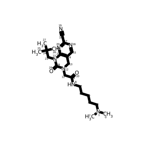 CN(C)CCCCCNC(=O)CN1Cc2cnc(C#N)nc2N(CC(C)(C)C)C1=O